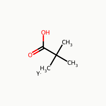 CC(C)(C)C(=O)O.[Y]